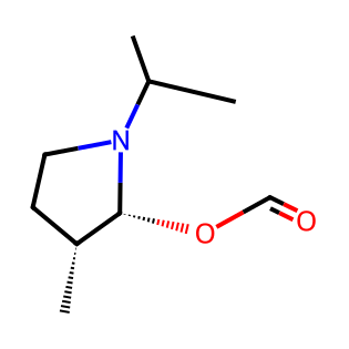 CC(C)N1CC[C@@H](C)[C@H]1OC=O